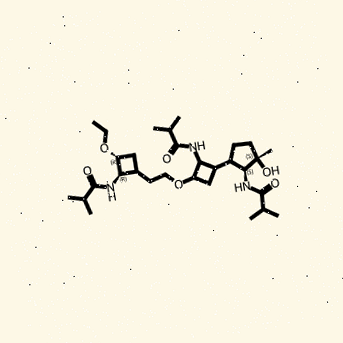 CCO[C@@H]1CC(CCOC2CC(C3CC[C@](C)(O)[C@H]3NC(=O)C(C)C)C2NC(=O)C(C)C)[C@H]1NC(=O)C(C)C